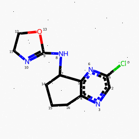 Clc1cnc2c(n1)C(NC1=NCCO1)CCC2